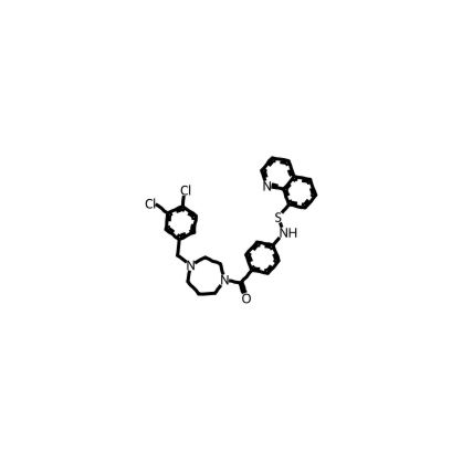 O=C(c1ccc(NSc2cccc3cccnc23)cc1)N1CCCN(Cc2ccc(Cl)c(Cl)c2)CC1